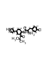 CN(C)C(=O)c1cc(-c2cn[nH]c2)ccc1NC(=O)C(N)Cc1ccc(Cl)cc1